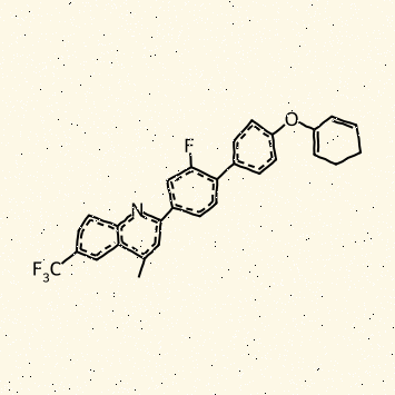 Cc1cc(-c2ccc(-c3ccc(OC4=CCCC=C4)cc3)c(F)c2)nc2ccc(C(F)(F)F)cc12